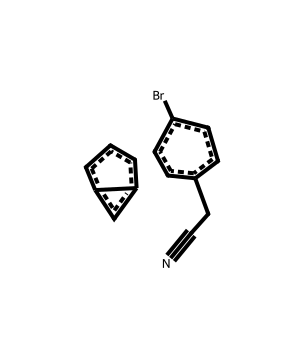 N#CCc1ccc(Br)cc1.c1cc2cc-2c1